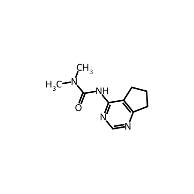 CN(C)C(=O)Nc1ncnc2c1CCC2